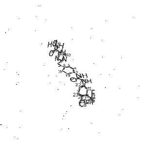 O=C(Nc1ccc(Sc2ncnc(C(=O)NO)n2)cc1)Nc1ccc(Cl)c(C(F)(F)F)c1